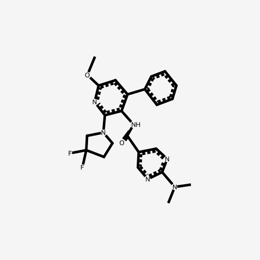 COc1cc(-c2ccccc2)c(NC(=O)c2cnc(N(C)C)nc2)c(N2CCC(F)(F)C2)n1